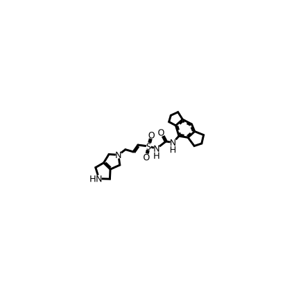 O=C(Nc1c2c(cc3c1CCC3)CCC2)NS(=O)(=O)/C=C/CN1CC2=C(CNC2)C1